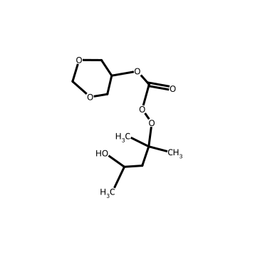 CC(O)CC(C)(C)OOC(=O)OC1COCOC1